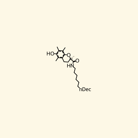 CCCCCCCCCCCCCCCCNC(=O)[C@@]1(C)CCc2c(C)c(O)c(C)c(C)c2O1